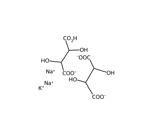 O=C([O-])C(O)C(O)C(=O)O.O=C([O-])C(O)C(O)C(=O)[O-].[K+].[Na+].[Na+]